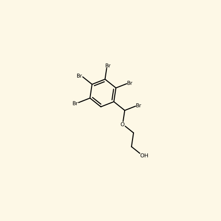 OCCOC(Br)c1cc(Br)c(Br)c(Br)c1Br